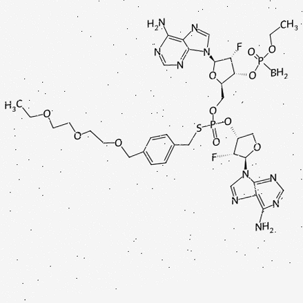 BP(=O)(OCC)O[C@H]1[C@@H](F)[C@H](n2cnc3c(N)ncnc32)O[C@@H]1COP(=O)(O[C@@H]1CO[C@@H](n2cnc3c(N)ncnc32)[C@@H]1F)SCc1ccc(COCCOCCOCC)cc1